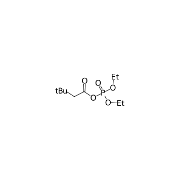 CCOP(=O)(OCC)OC(=O)CC(C)(C)C